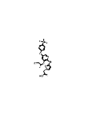 C[C@@H](CO)Oc1cc(Oc2ccc(S(C)(=O)=O)cc2)cnc1Nc1ccn(CC(=O)O)n1